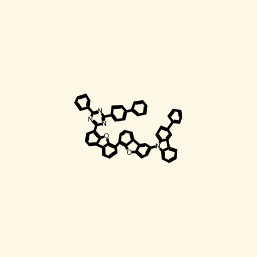 c1ccc(-c2ccc(-c3nc(-c4ccccc4)nc(-c4cccc5c4oc4c(-c6cccc7c6oc6ccc(-n8c9ccccc9c9cc(-c%10ccccc%10)ccc98)cc67)cccc45)n3)cc2)cc1